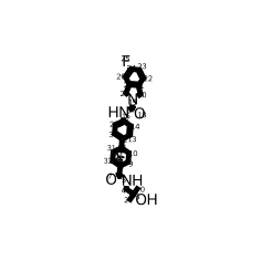 CC(C)(O)CNC(=O)C12CCC(c3ccc(NC(=O)N4Cc5ccc(F)cc5C4)cc3)(CC1)CC2